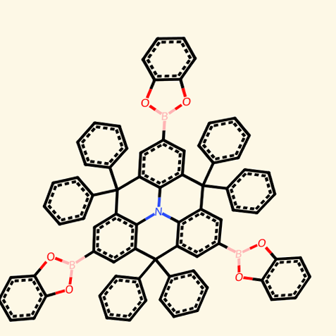 c1ccc(C2(c3ccccc3)c3cc(B4Oc5ccccc5O4)cc4c3N3c5c2cc(B2Oc6ccccc6O2)cc5C(c2ccccc2)(c2ccccc2)c2cc(B5Oc6ccccc6O5)cc(c23)C4(c2ccccc2)c2ccccc2)cc1